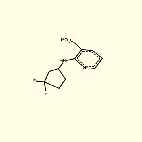 O=C(O)c1cccnc1NC1CCC(F)(F)C1